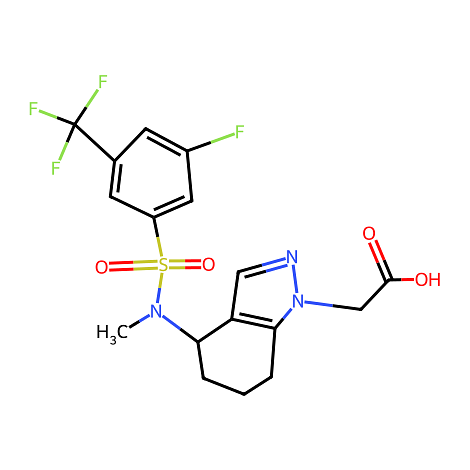 CN(C1CCCc2c1cnn2CC(=O)O)S(=O)(=O)c1cc(F)cc(C(F)(F)F)c1